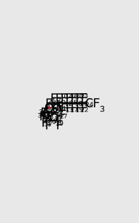 O=S(=O)(C(F)(F)C(F)(F)C(F)(F)C(F)(F)C(F)(F)C(F)(F)C(F)(F)C(F)(F)F)C12C(F)=C(F)C(F)(C(F)(F)C1(F)F)C2(F)F